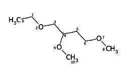 CCOC[C](CCOC)OC